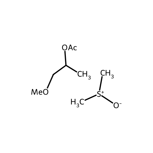 COCC(C)OC(C)=O.C[S+](C)[O-]